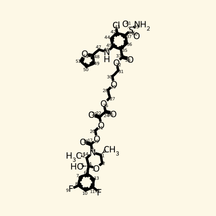 C[C@@H]1CO[C@@](O)(c2cc(F)cc(F)c2)[C@H](C)N1C(=O)OCOC(=O)C(=O)OCCOCCOC(=O)c1cc(S(N)(=O)=O)c(Cl)cc1NCc1ccco1